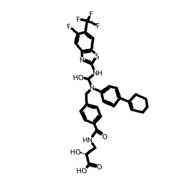 O=C(NC[C@@H](O)C(=O)O)c1ccc(CN(c2ccc(C3=CCCCC3)cc2)C(O)Nc2nc3cc(F)c(C(F)(F)F)cc3s2)cc1